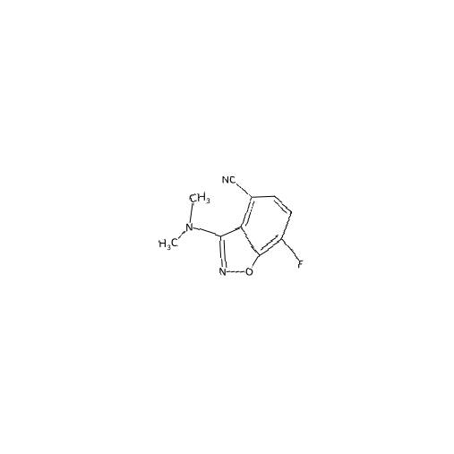 CN(C)c1noc2c(F)ccc(C#N)c12